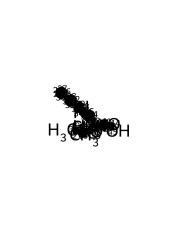 CC(C)(C)c1ccc(C(=O)N[C@@H](Cc2ccc(-c3ncc(-c4ccc(-c5ccccc5)cc4)cn3)cc2)C(=O)N2CC[C@H](C(=O)O)C2)s1